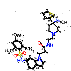 COc1cc(C)c(S(=O)(=O)Nc2ccc3ccn(CCC(=O)NCCN4CCC(c5cccs5)(N(C)C)CC4)c3c2)c(C)c1